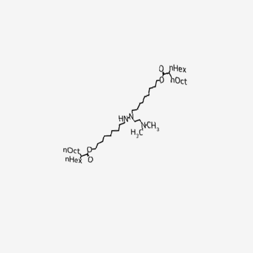 CCCCCCCCC(CCCCCC)C(=O)OCCCCCCCCCNN(CCCCCCCCCOC(=O)C(CCCCCC)CCCCCCCC)CCN(C)C